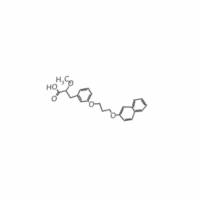 COC(Cc1cccc(OCCCOc2ccc3ccccc3c2)c1)C(=O)O